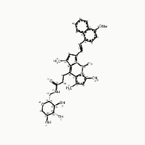 COc1ccc(/C=C/C2=[N+]3B(F)n4c(C)cc(C)c4C(CCC(=O)NC[C@H]4OC[C@H](O)[C@@H](O)[C@@H]4O)=C3C(C)=C2)c2ccccc12